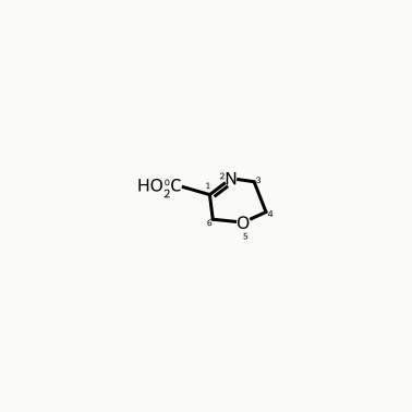 O=C(O)C1=NCCOC1